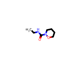 [CH2]CNC(=O)N1CCCCO1